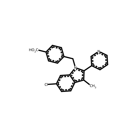 Cc1c(-c2cccnc2)n(Cc2ccc(C(=O)O)cc2)c2cc(Cl)ccc12